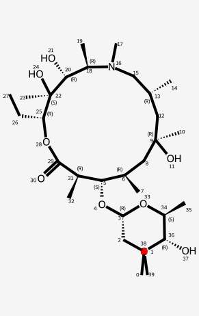 CCC[C@H](O[C@H]1[C@H](C)C[C@](C)(O)C[C@@H](C)CN(C)[C@H](C)[C@@H](O)[C@](C)(O)[C@@H](CC)OC(=O)[C@@H]1C)O[C@@H](C)[C@H](O)OC